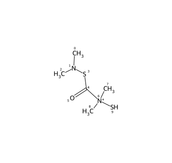 CN(C)SC(=O)[N+](C)(C)S